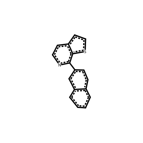 c1ccc2cc(-c3nccc4ccsc34)ccc2c1